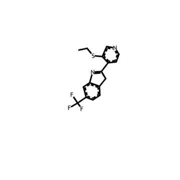 CCSc1cnccc1C1=Nc2cc(C(F)(F)F)ccc2C1